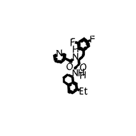 CCc1ccc2c(c1)C(NCC(O)C(Cc1cc(F)cc(F)c1)NC(=O)c1cccnc1)CCC2